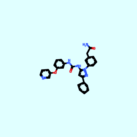 NC(=O)Cc1cccc(-n2nc(-c3ccccc3)cc2NC(=O)Nc2cccc(Oc3cccnc3)c2)c1